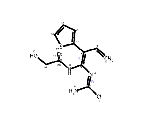 C=C/C(=C(\N=C(/N)Cl)N[C@H](CC)CO)c1cccs1